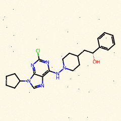 O[C@H](CC1CCN(Nc2nc(Cl)nc3c2ncn3C2CCCC2)CC1)c1ccccc1